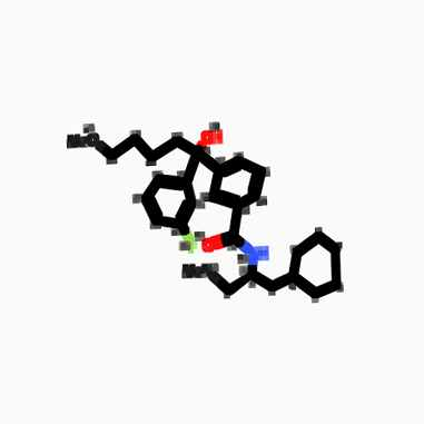 CNC[C@H](CC1CCCCC1)NC(=O)c1cccc(C(O)(CCCCOC)c2cccc(F)c2)c1